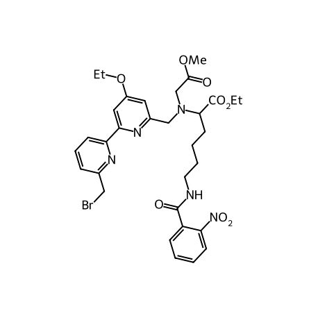 CCOC(=O)C(CCCCNC(=O)c1ccccc1[N+](=O)[O-])N(CC(=O)OC)Cc1cc(OCC)cc(-c2cccc(CBr)n2)n1